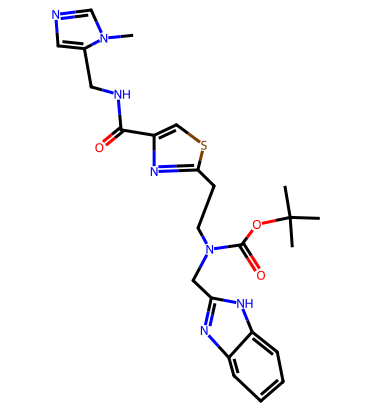 Cn1cncc1CNC(=O)c1csc(CCN(Cc2nc3ccccc3[nH]2)C(=O)OC(C)(C)C)n1